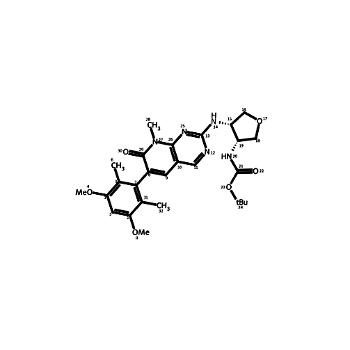 COc1cc(OC)c(C)c(-c2cc3cnc(N[C@@H]4COC[C@@H]4NC(=O)OC(C)(C)C)nc3n(C)c2=O)c1C